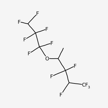 CC(OC(F)(F)C(F)(F)C(F)F)C(F)(F)C(F)C(F)(F)F